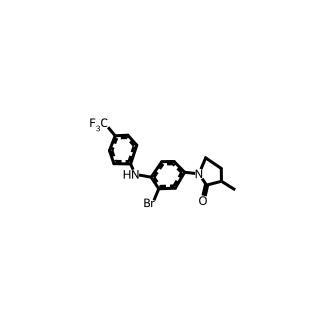 CC1CCN(c2ccc(Nc3ccc(C(F)(F)F)cc3)c(Br)c2)C1=O